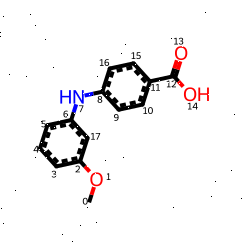 COc1cccc(Nc2ccc(C(=O)O)cc2)c1